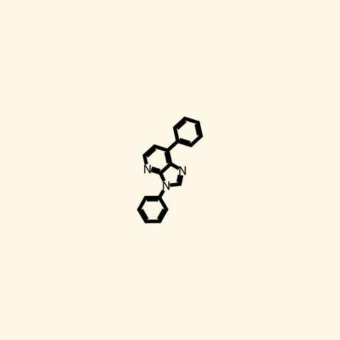 c1ccc(-c2ccnc3c2ncn3-c2ccccc2)cc1